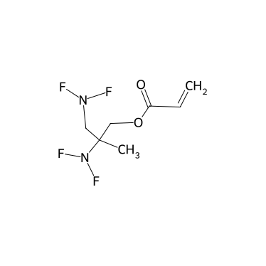 C=CC(=O)OCC(C)(CN(F)F)N(F)F